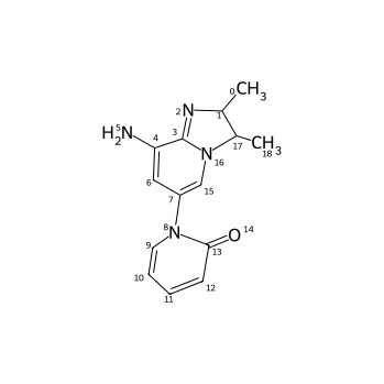 CC1N=C2C(N)=CC(n3ccccc3=O)=CN2C1C